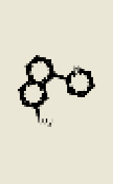 O=C(O)c1ccc2cccc(-c3ccccn3)c2c1